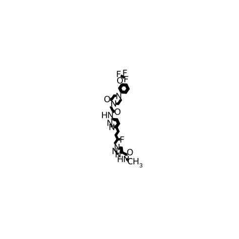 CNC(=O)c1cn(CC(F)CCc2ccc(NC(=O)CN3CCN(c4cccc(OC(F)(F)F)c4)CC3=O)nn2)nn1